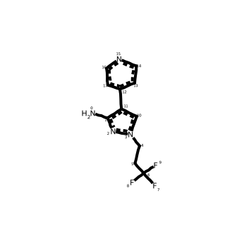 Nc1nn(CCC(F)(F)F)cc1-c1ccncc1